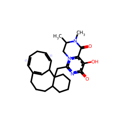 CC1Cn2c(CC34CCCCC3CCCC3=CC4/C=C\C/C=C\3)nc(=O)c(O)c2C(=O)N1C